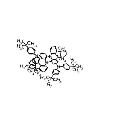 CC(C)(C)c1ccc(N(c2ccc(C(C)(C)C)cc2)c2ccc3c(c2)N(c2cccc4c2-c2ccccc2C4(C)C)c2cc(N(c4ccc(C(C)(C)C)cc4)c4ccc(C(C)(C)C)cc4)cc4c2B3c2cccc3c2N4C2(C)CCCCC32C)cc1